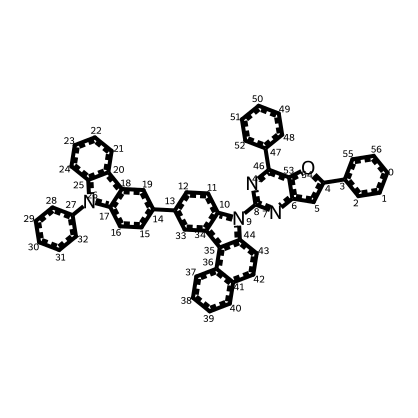 c1ccc(-c2cc3nc(-n4c5ccc(-c6ccc7c(c6)c6ccccc6n7-c6ccccc6)cc5c5c6ccccc6ccc54)nc(-c4ccccc4)c3o2)cc1